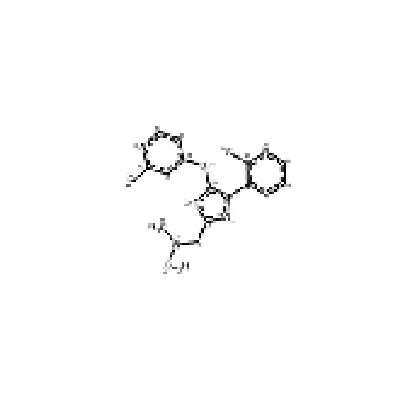 CN(Cc1nc(-c2cccnc2F)c(Sc2ccnc(Cl)c2)s1)C(=O)O